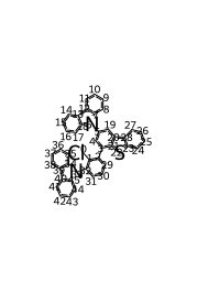 Clc1c(-c2cc(-n3c4ccccc4c4ccccc43)cc3c2sc2ccccc23)cccc1-n1c2ccccc2c2ccccc21